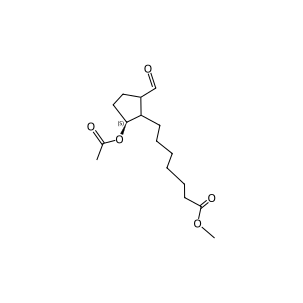 COC(=O)CCCCCCC1C(C=O)CC[C@@H]1OC(C)=O